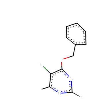 CC(=O)c1nc(C)c(F)c(OCc2ccccc2)n1